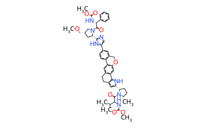 COC[C@H]1C[C@@H](c2ncc(-c3ccc4c(c3)COc3cc5c(cc3-4)CCc3cc([C@@H]4CC[C@H](C)N4C(=O)[C@@H](NC(=O)OC)C(C)C)[nH]c3-5)[nH]2)N(C(=O)[C@H](NC(=O)OC)c2ccccc2)C1